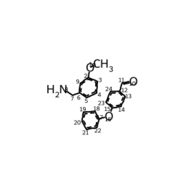 COc1cccc(CN)c1.O=Cc1ccc(Oc2ccccc2)cc1